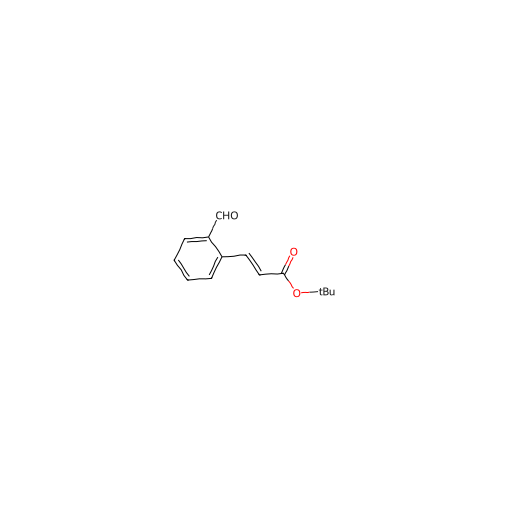 CC(C)(C)OC(=O)/C=C/c1ccccc1C=O